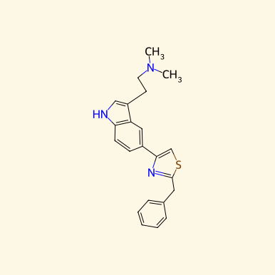 CN(C)CCc1c[nH]c2ccc(-c3csc(Cc4ccccc4)n3)cc12